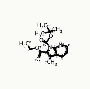 CCOC(=O)c1c(C)c2cccnc2n1C(=O)OC(C)(C)C